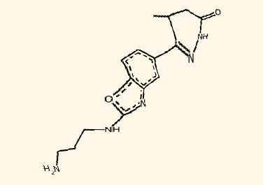 CC1CC(=O)NN=C1c1ccc2oc(NCCCN)nc2c1